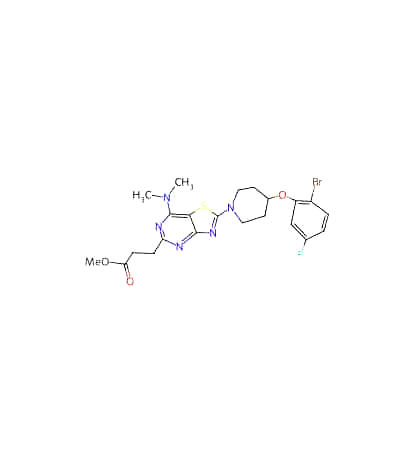 COC(=O)CCc1nc(N(C)C)c2sc(N3CCC(Oc4cc(F)ccc4Br)CC3)nc2n1